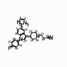 Cn1ccnc1-c1ccc2c(c1)c(C1CCN(CCC#N)CC1)cn2-c1ccc(F)cc1